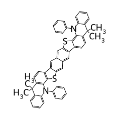 CC1(C)c2ccccc2N(c2ccccc2)c2c1ccc1c2sc2cc3cc4c(cc3cc21)sc1c2c(ccc14)C(C)(C)c1ccccc1N2c1ccccc1